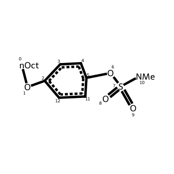 CCCCCCCCOc1ccc(OS(=O)(=O)NC)cc1